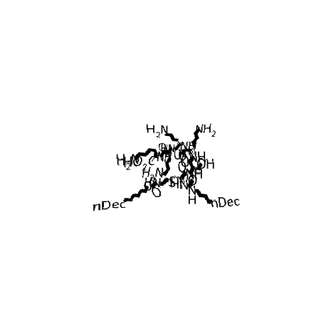 CCCCCCCCCCCCCCCCOC(=O)NCCSC[C@@H](NC(=O)NCCCCCCCCCCCCCC)C(=O)N[C@H](CO)C(=O)N[C@@H](CCCCN)C(=O)N[C@@H](CCCCN)C(=O)N[C@@H](CCCCN)C(=O)N[C@@H](CCCCN)C(=O)O